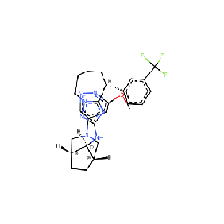 COc1cc(N2C[C@H]3CC[C@@H](C2)[C@@H]3Nc2nc3n(n2)CCCC[C@@H]3c2cccc(C(F)(F)F)c2)cnn1